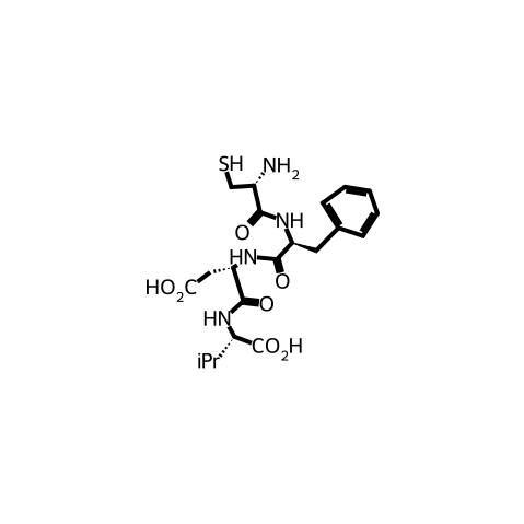 CC(C)[C@H](NC(=O)[C@H](CC(=O)O)NC(=O)[C@H](Cc1ccccc1)NC(=O)[C@@H](N)CS)C(=O)O